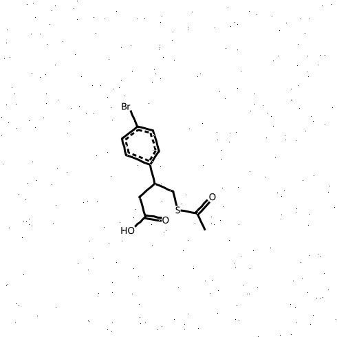 CC(=O)SCC(CC(=O)O)c1ccc(Br)cc1